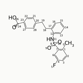 Cc1ccc(F)cc1S(=O)(=O)Nc1ccccc1CCc1ccc(C(=O)O)cc1